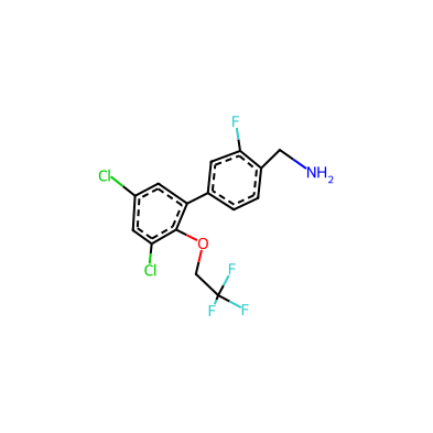 NCc1ccc(-c2cc(Cl)cc(Cl)c2OCC(F)(F)F)cc1F